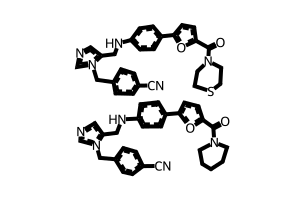 N#Cc1ccc(Cn2cncc2CNc2ccc(-c3ccc(C(=O)N4CCCCC4)o3)cc2)cc1.N#Cc1ccc(Cn2cncc2CNc2ccc(-c3ccc(C(=O)N4CCSCC4)o3)cc2)cc1